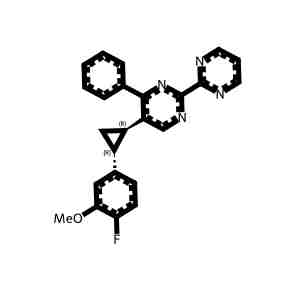 COc1cc([C@@H]2C[C@H]2c2cnc(-c3ncccn3)nc2-c2ccccc2)ccc1F